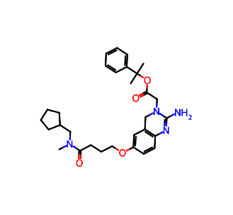 CN(CC1CCCC1)C(=O)CCCOc1ccc2c(c1)CN(CC(=O)OC(C)(C)c1ccccc1)C(N)=N2